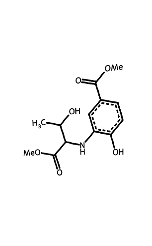 COC(=O)c1ccc(O)c(NC(C(=O)OC)C(C)O)c1